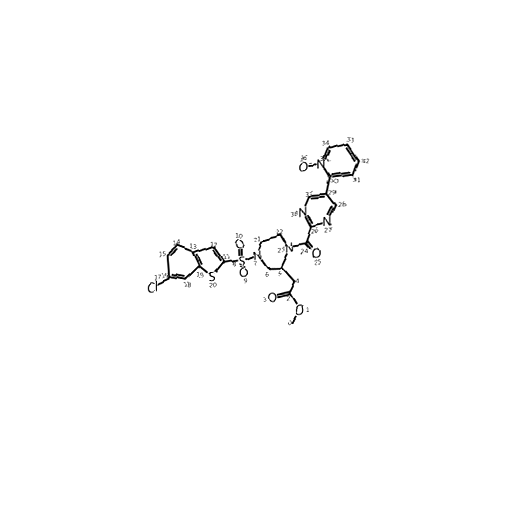 COC(=O)CC1CN(S(=O)(=O)c2cc3ccc(Cl)cc3s2)CCN1C(=O)c1ncc(-c2cccc[n+]2[O-])cn1